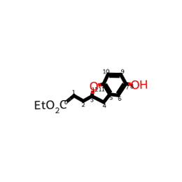 CCOC(=O)CCC1Cc2cc(O)ccc2O1